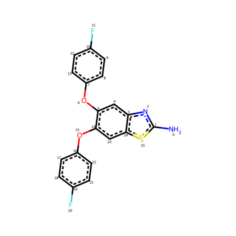 Nc1nc2cc(Oc3ccc(F)cc3)c(Oc3ccc(F)cc3)cc2s1